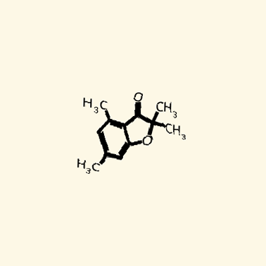 Cc1cc(C)c2c(c1)OC(C)(C)C2=O